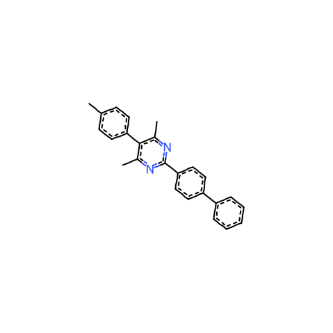 Cc1ccc(-c2c(C)nc(-c3ccc(-c4ccccc4)cc3)nc2C)cc1